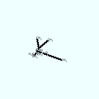 CCCCCCCCCCCCCOC(=O)CCSCCC(NC(=O)C(CCCCCCCC)CCCCCCCCCC)C(=O)N(C)CCN(C)C